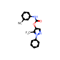 N#Cc1cccc(NC(=O)Oc2cnn(-c3ccccc3)c2C(F)(F)F)c1